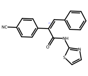 N#Cc1ccc(/C(=C/c2ccccc2)C(=O)Nc2nccs2)cc1